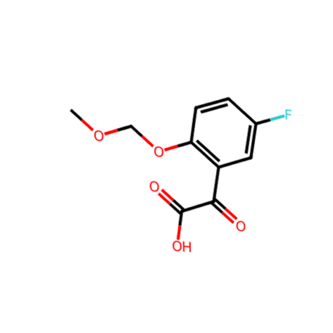 COCOc1ccc(F)cc1C(=O)C(=O)O